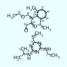 CCNc1nc(NC(C)C)nc(SC)n1.CCOCN(C(=O)CCl)c1c(C)cccc1CC